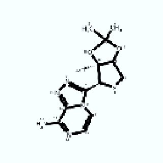 CC1(C)OC2CS[C@@H](c3nnc4c(N)nccn34)[C@H]2O1